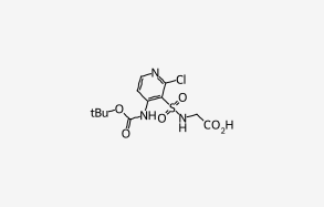 CC(C)(C)OC(=O)Nc1ccnc(Cl)c1S(=O)(=O)NCC(=O)O